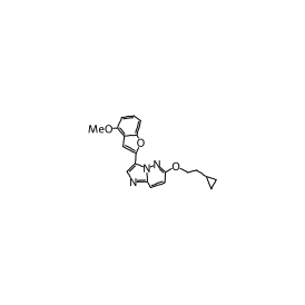 COc1cccc2oc(-c3cnc4ccc(OCCC5CC5)nn34)cc12